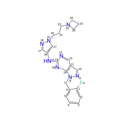 Fc1ccccc1Cn1ncc2cnc(Nc3cnn(CCCN4CCC4)c3)nc21